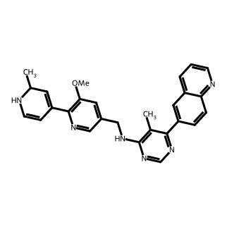 COc1cc(CNc2ncnc(-c3ccc4ncccc4c3)c2C)cnc1C1=CC(C)NC=C1